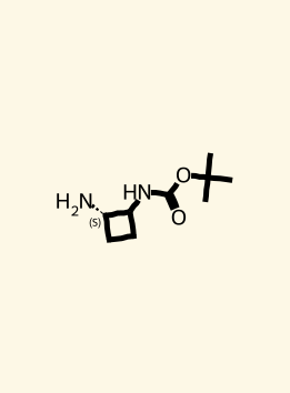 CC(C)(C)OC(=O)NC1CC[C@@H]1N